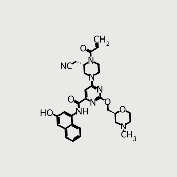 C=CC(=O)N1CCN(c2cc(C(=O)Nc3cc(O)cc4ccccc34)nc(OC[C@@H]3CN(C)CCO3)n2)C[C@@H]1CC#N